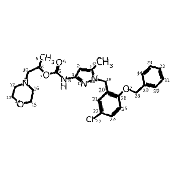 Cc1cc(NC(=O)OC(C)CN2CCOCC2)nn1Cc1cc(Cl)ccc1OCc1ccccc1